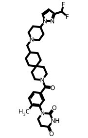 Cc1ccc(C(=O)N2CCC3(CCC(CN4CCC(n5ccc(C(F)F)n5)CC4)CC3)CC2)cc1N1CCC(=O)NC1=O